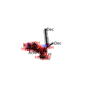 CCCCCCCCCCCCC/C=C/[C@@H](O)[C@H](CO[C@@H]1OC(CO)[C@@H](O[C@@H]2OC(CO)[C@H](O[C@@H]3OC(CO)[C@H](O)[C@H](O[C@@H]4OC(CO)[C@H](O[C@@H]5OC(CO)[C@H](O)[C@H](O)C5NC(C)=O)[C@H](O[C@]5(C(=O)O)CC(O)[C@@H](NC(=O)CO)C([C@H](O)[C@H](O)CO)O5)C4O)C3NC(C)=O)[C@H](O[C@]3(C(=O)O)CC(O)[C@@H](NC(C)=O)C([C@H](O)[C@H](O)CO)O3)C2O)[C@H](O)C1O)NC(=O)CCCCCCCCCCCCCCCCCCCCCCCCC